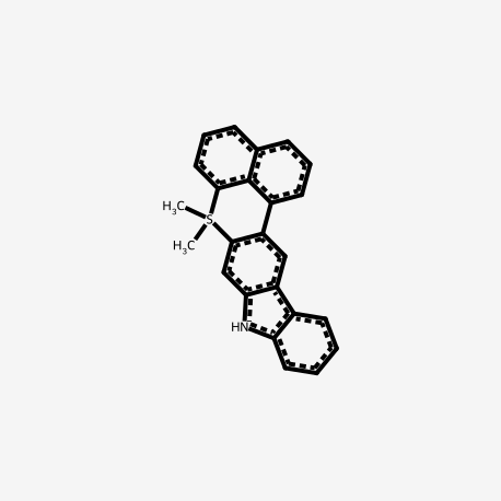 CS1(C)c2cc3[nH]c4ccccc4c3cc2-c2cccc3cccc1c23